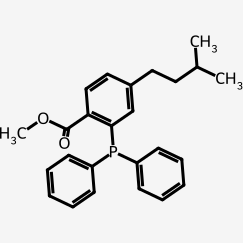 COC(=O)c1ccc(CCC(C)C)cc1P(c1ccccc1)c1ccccc1